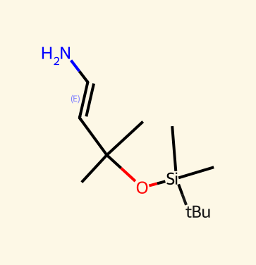 CC(C)(/C=C/N)O[Si](C)(C)C(C)(C)C